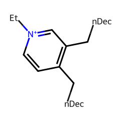 CCCCCCCCCCCc1cc[n+](CC)cc1CCCCCCCCCCC